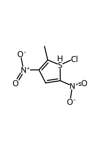 CC1=C([N+](=O)[O-])C=C([N+](=O)[O-])[SH]1Cl